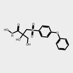 O=C(NO)C(O)(CO)CS(=O)(=O)c1ccc(Oc2ccccc2)cc1